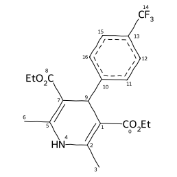 CCOC(=O)C1=C(C)NC(C)=C(C(=O)OCC)C1c1ccc(C(F)(F)F)cc1